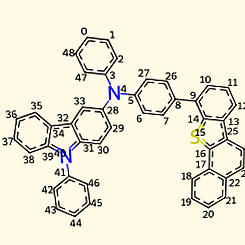 c1ccc(N(c2ccc(-c3cccc4c3sc3c5ccccc5ccc43)cc2)c2ccc3c(c2)c2ccccc2n3-c2ccccc2)cc1